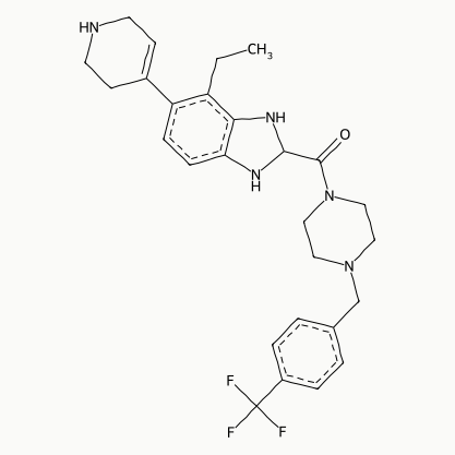 CCc1c(C2=CCNCC2)ccc2c1NC(C(=O)N1CCN(Cc3ccc(C(F)(F)F)cc3)CC1)N2